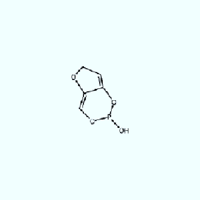 OP1OC=C2OCC=C2O1